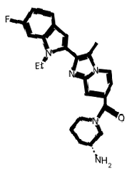 CCn1c(-c2nc3cc(C(=O)N4CCC[C@@H](N)C4)ccn3c2C)cc2ccc(F)cc21